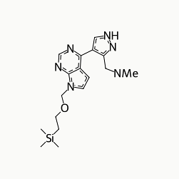 CNCc1n[nH]cc1-c1ncnc2c1ccn2COCC[Si](C)(C)C